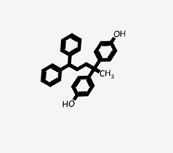 CC(CCC(c1ccccc1)c1ccccc1)(c1ccc(O)cc1)c1ccc(O)cc1